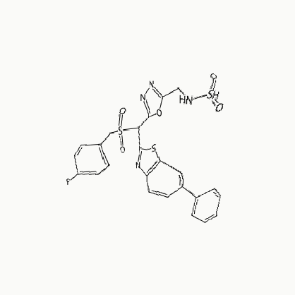 O=[SH](=O)NCc1nnc(C(c2nc3ccc(-c4ccccc4)cc3s2)S(=O)(=O)Cc2ccc(F)cc2)o1